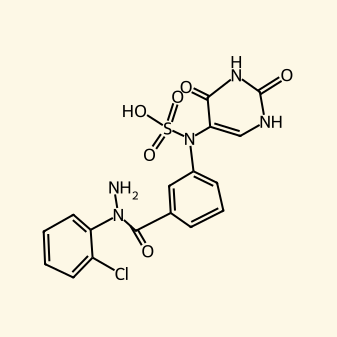 NN(C(=O)c1cccc(N(c2c[nH]c(=O)[nH]c2=O)S(=O)(=O)O)c1)c1ccccc1Cl